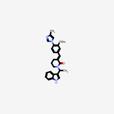 COc1cc(C=C2CCCN(C(C)c3c[nH]c4ccccc34)C2=O)ccc1-n1cnc(C)c1